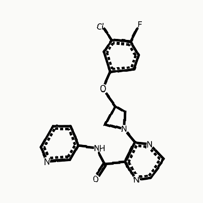 O=C(Nc1cccnc1)c1nccnc1N1CC(Oc2ccc(F)c(Cl)c2)C1